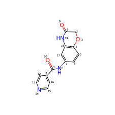 O=C1COc2ccc(NC(=O)c3ccncc3)cc2N1